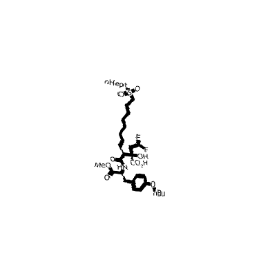 CCCCCCCS(=O)(=O)CCCCCCC=C[C@H](C(=O)N[C@@H](Cc1ccc(OCCCC)cc1)C(=O)OC)[C@@](O)(CC(F)F)C(=O)O